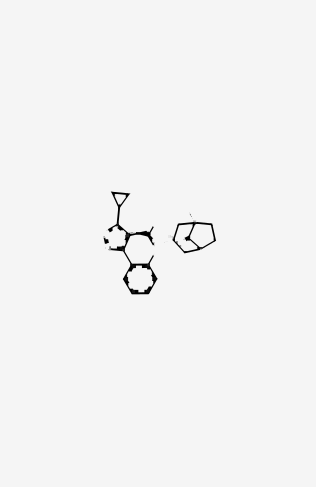 O=C1C2CC[C@H]1C[C@@H](OCc1c(-c3ccccc3OC(F)F)noc1C1CC1)C2